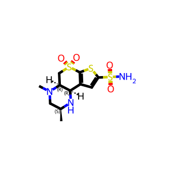 C[C@H]1CN(C)[C@H]2CS(=O)(=O)c3sc(S(N)(=O)=O)cc3[C@H]2N1